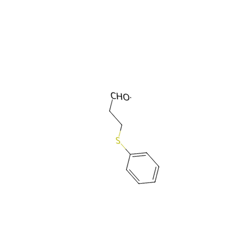 O=[C]CCSc1ccccc1